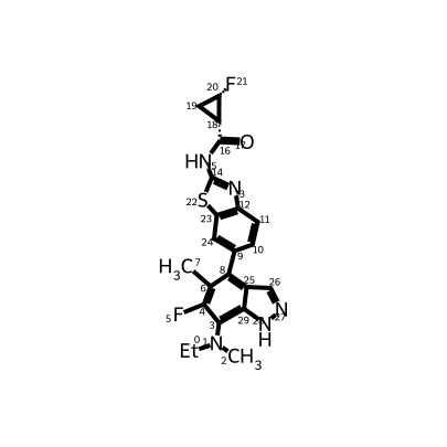 CCN(C)c1c(F)c(C)c(-c2ccc3nc(NC(=O)[C@@H]4C[C@@H]4F)sc3c2)c2cn[nH]c12